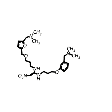 CN(C)Cc1cccc(OCCCNC(=C[N+](=O)[O-])NCCCOCc2ccc(CN(C)C)o2)c1